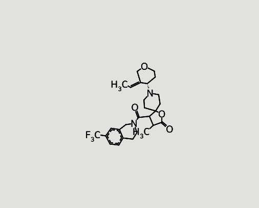 C/C=C1\COCC[C@@H]1N1CCC2(CC1)OC(=O)C(C)C2C(=O)N1CCc2ccc(C(F)(F)F)cc2C1